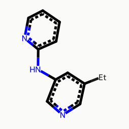 CCc1cncc(Nc2ccccn2)c1